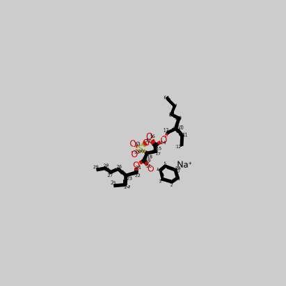 C1CCCCC1.CCCCC(CC)COC(=O)CC(C(=O)OCC(CC)CCCC)S(=O)(=O)[O-].[Na+]